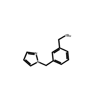 CC(C)(C)Cc1cccc(Cn2cccn2)c1